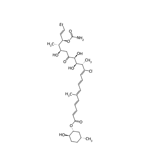 CC/C=C/[C@@H](OC(N)=O)[C@@H](C)[C@H](O)CC(=O)[C@@H](O)[C@H](O)[C@H](C)/C(Cl)=C/C=C/C=C(C)/C=C/C=C/C(=O)O[C@@H]1C[C@H](C)CC[C@H]1O